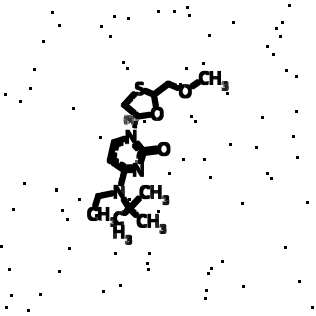 CCN(c1ccn([C@@H]2CSC(COC)O2)c(=O)n1)C(C)(C)C